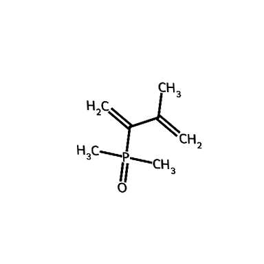 C=C(C)C(=C)P(C)(C)=O